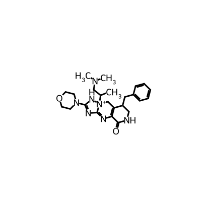 CC(CN(C)C)[N+]12CC3=C(N=C1N=C(N1CCOCC1)N2)C(=O)NCC3Cc1ccccc1